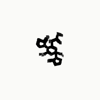 CNC(=O)NC1=NC(N)(N2CCCC2=O)N=C(N)N1N1CCCC1=O